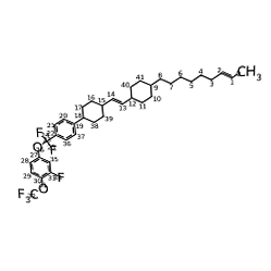 C/C=C/CCCCCCC1CCC(/C=C/C2CCC(c3ccc(C(F)(F)Oc4ccc(OC(F)(F)F)c(F)c4)cc3)CC2)CC1